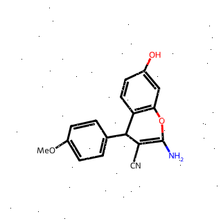 COc1ccc(C2C(C#N)=C(N)Oc3cc(O)ccc32)cc1